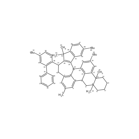 Cc1cc2c3c(c1)C1CC4(C)CCCCC4(C)c4cc(C(C)(C)C)cc(c41)B3C1=C(C(c3ccc(C(C)(C)C)cc3-c3ccccc3)C2)C(C)(C)c2ccc(C(C)(C)C)cc21